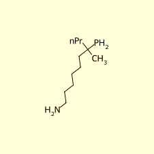 CCCC(C)(P)CCCCCCN